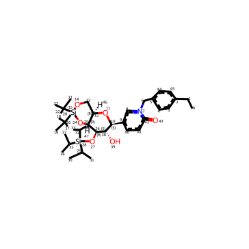 CCc1ccc(Cn2cc([C@@H]3O[C@@H]4CO[Si](C(C)(C)C)(C(C)(C)C)O[C@H]4[C@H](O[Si](C(C)C)(C(C)C)C(C)C)[C@H]3O)ccc2=O)cc1